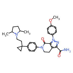 COc1ccc(-n2nc(C(N)=O)c3c2C(=O)N(c2ccc(C4(CCN5C(C)CCC5C)CC4)cc2)CC3)cc1